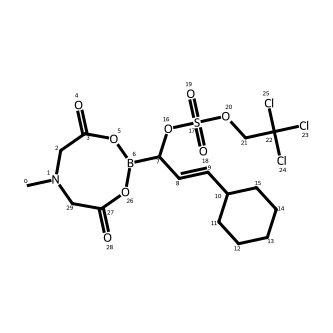 CN1CC(=O)OB(C(/C=C/C2CCCCC2)OS(=O)(=O)OCC(Cl)(Cl)Cl)OC(=O)C1